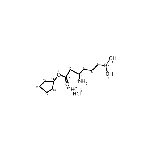 Cl.Cl.NC(CCCB(O)O)CC(=O)OC1CCCC1